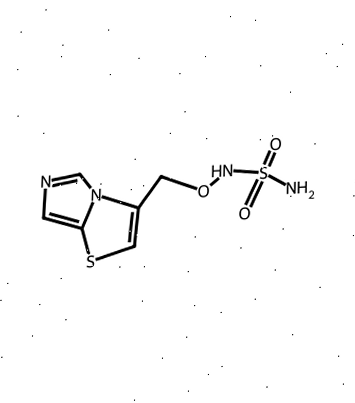 NS(=O)(=O)NOCc1csc2cncn12